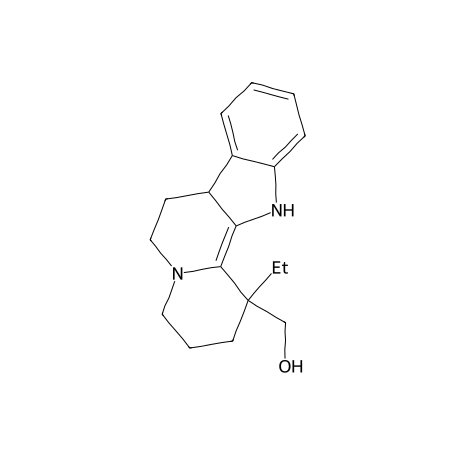 CCC1(CO)CCCN2CCC3C(=C21)Nc1ccccc13